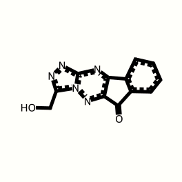 O=C1c2ccccc2-c2nc3nnc(CO)n3nc21